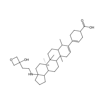 CC1C(C2=CCC(C(=O)O)CC2)=CCC2(C)C1CCC1(C)C2CCC2C3CCCC3(NCCC3(O)COC3)CC[C@]21C